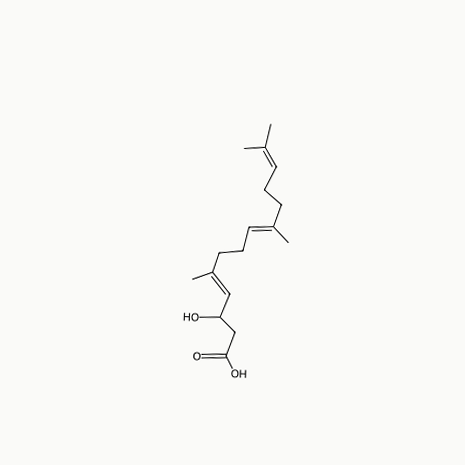 CC(C)=CCCC(C)=CCCC(C)=CC(O)CC(=O)O